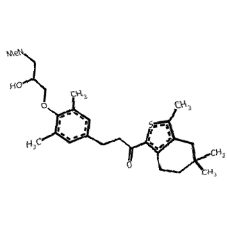 CNCC(O)COc1c(C)cc(CCC(=O)c2sc(C)c3c2CCC(C)(C)C3)cc1C